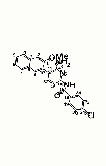 COc1cc2ccccc2cc1-c1ccc(NC(=O)c2ccc(Cl)cc2)nc1N